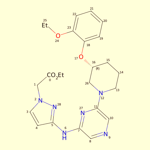 CCOC(=O)Cn1ccc(Nc2cncc(N3CCC[C@@H](Oc4ccccc4OCC)C3)n2)n1